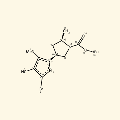 CNc1c(C#N)c(Br)nn1[C@H]1C[C@@H](C)N(C(=O)OC(C)(C)C)C1